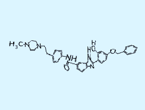 CN1CCN(CCc2ccc(NC(=O)c3ccc4nc(-c5ccc(OCc6ccccc6)cc5O)[nH]c4c3)cc2)CC1